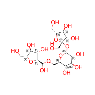 OC[C@H]1O[C@@](CO)(O[C@H]2O[C@H](COC(O)[C@H]3O[C@H](CO)[C@@H](O)[C@@H]3O)[C@@H](O)[C@H](O)[C@H]2O)[C@@H](O)[C@@H]1O